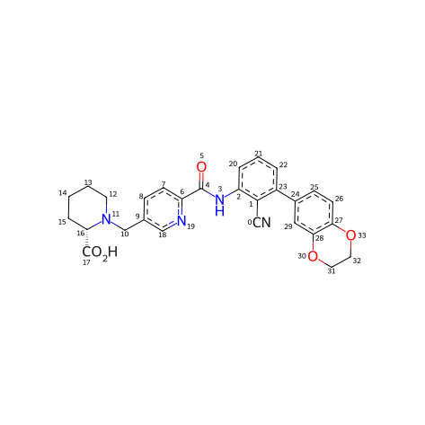 N#Cc1c(NC(=O)c2ccc(CN3CCCC[C@H]3C(=O)O)cn2)cccc1-c1ccc2c(c1)OCCO2